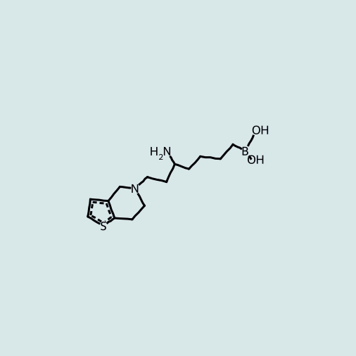 NC(CCCCB(O)O)CCN1CCc2sccc2C1